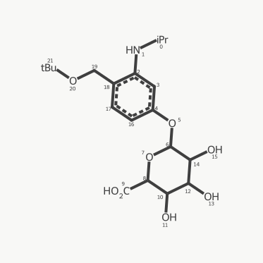 CC(C)Nc1cc(OC2OC(C(=O)O)C(O)C(O)C2O)ccc1COC(C)(C)C